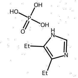 CCc1nc[nH]c1CC.O=P(O)(O)O